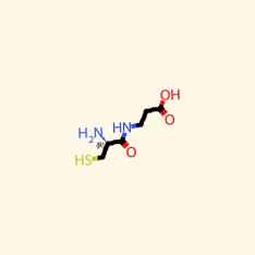 N[C@@H](CS)C(=O)NCCC(=O)O